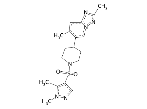 Cc1nc2cc(C)c(C3CCN(S(=O)(=O)c4cnn(C)c4C)CC3)cn2n1